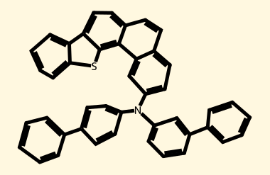 c1ccc(-c2ccc(N(c3cccc(-c4ccccc4)c3)c3ccc4ccc5ccc6c7ccccc7sc6c5c4c3)cc2)cc1